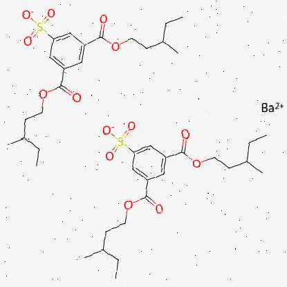 CCC(C)CCOC(=O)c1cc(C(=O)OCCC(C)CC)cc(S(=O)(=O)[O-])c1.CCC(C)CCOC(=O)c1cc(C(=O)OCCC(C)CC)cc(S(=O)(=O)[O-])c1.[Ba+2]